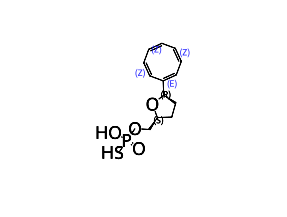 O=P(O)(S)OC[C@@H]1CC[C@H](C2=C/C=C\C=C/C=C\2)O1